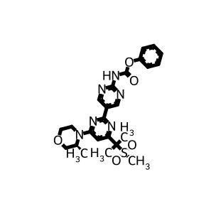 C[C@H]1COCCN1c1cc(C(C)(C)S(C)(=O)=O)nc(-c2cnc(NC(=O)Oc3ccccc3)nc2)n1